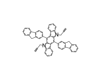 C#CCn1c2ccccc2c2c(-c3ccc4c(c3)Cc3ccccc3-4)c3c(c(-c4ccc5c(c4)Cc4ccccc4-5)c21)c1ccccc1n3CC#C